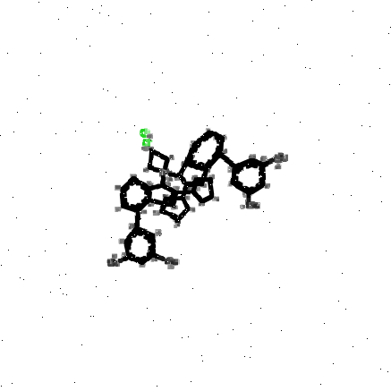 CC(C)(C)c1cc(-c2cccc3c2C=C(C2CCCC2)[CH]3[Ti+2]2([CH]3C(C4CCCC4)=Cc4c(-c5cc(C(C)(C)C)cc(C(C)(C)C)c5)cccc43)[CH2]C[CH2]2)cc(C(C)(C)C)c1.[Cl-].[Cl-]